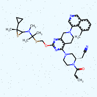 C=CC(=O)N1CCN(c2nc(OCSC(C)(C)N(C)C3S[C@]3(C)C3CC3)nc3c2CCN(c2cncc4cccc(C)c24)C3)C[C@@H]1CC#N